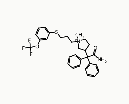 C[N@@+]1(CCCSc2cccc(OC(F)(F)F)c2)CCC(C(C(N)=O)(c2ccccc2)c2ccccc2)C1